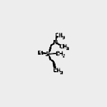 C=CC[Si](C)(CC)CN(C)C